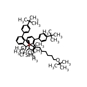 CC1=C(CCCCCCOC(C)(C)C)c2c(-c3ccc(C(C)(C)C)cc3)cccc2[CH]1[Zr]([CH3])([CH3])([SiH3])([Cl])([Cl])[CH]1C(C(C)C)=Cc2c(-c3ccc(C(C)(C)C)cc3)cccc21